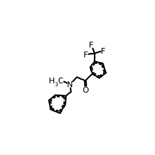 CN(CC(=O)c1cccc(C(F)(F)F)c1)Cc1ccccc1